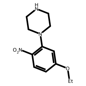 CCOc1ccc([N+](=O)[O-])c(N2CCNCC2)c1